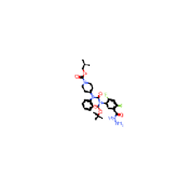 CC(C)COC(=O)N1CCC(N(C(=O)N(C(=O)OC(C)(C)C)c2cc(C(=O)NN)c(F)cc2F)c2ccccc2)CC1